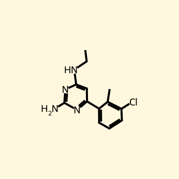 CCNc1cc(-c2cccc(Cl)c2C)nc(N)n1